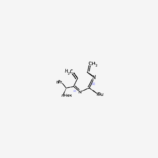 C=C/N=C(\N=C(/C=C)C(CCC)CCCCCC)C(C)CC